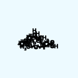 COCCOCCc1cc2cc(C(=O)O)ccc2n1CCC(C)(C)NC[C@H](O)c1cccc(NS(=O)(=O)c2ccccc2)c1